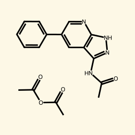 CC(=O)Nc1n[nH]c2ncc(-c3ccccc3)cc12.CC(=O)OC(C)=O